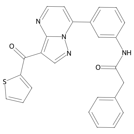 O=C(Cc1ccccc1)Nc1cccc(-c2ccnc3c(C(=O)c4cccs4)cnn23)c1